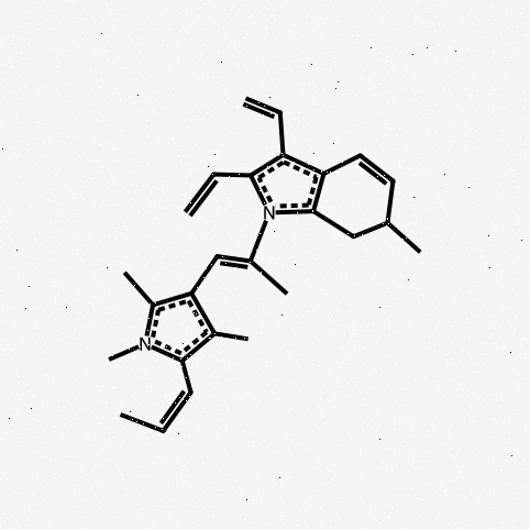 C=Cc1c2c(n(/C(C)=C/c3c(C)c(/C=C\C)n(C)c3C)c1C=C)CC(C)C=C2